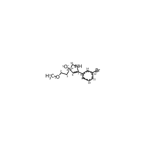 COCC[N+]1([O-])C=C(c2cccc(Br)c2)NC1